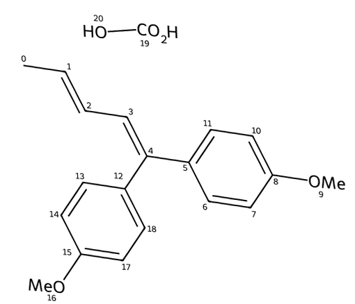 C/C=C/C=C(c1ccc(OC)cc1)c1ccc(OC)cc1.O=C(O)O